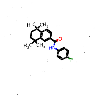 CC1(C)CCC(C)(C)c2cc(C(=O)Nc3ccc(F)cc3)ccc21